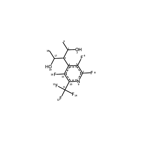 CC(O)C(c1c(F)c(F)nc(C(F)(F)F)c1F)C(C)O